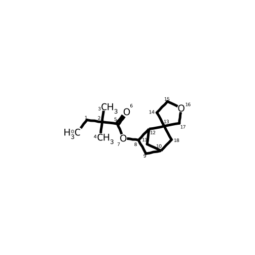 CCC(C)(C)C(=O)OC1CC2CC1C1(CCOC1)C2